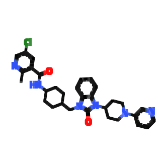 Cc1ncc(Cl)cc1C(=O)NC1CCC(Cn2c(=O)n(C3CCN(c4cccnc4)CC3)c3ccccc32)CC1